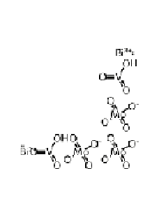 [Bi+3].[Bi+3].[O]=[Mo](=[O])([O-])[O-].[O]=[Mo](=[O])([O-])[O-].[O]=[Mo](=[O])([O-])[O-].[O]=[V](=[O])[OH].[O]=[V](=[O])[OH]